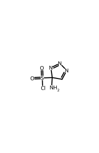 NC1(S(=O)(=O)Cl)C=NN=N1